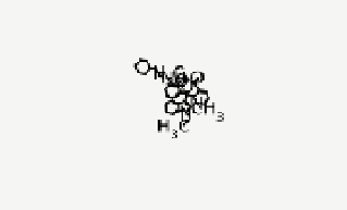 CCn1c(C)c(C2(c3cccc(NCCC4CCCCC4)c3OC)OC(=O)c3cccnc32)c2ccccc21